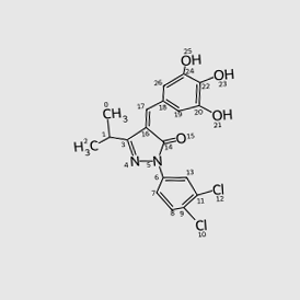 CC(C)C1=NN(c2ccc(Cl)c(Cl)c2)C(=O)C1=Cc1cc(O)c(O)c(O)c1